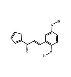 CCOc1ccc(OCC)c(C=CC(=O)c2cccs2)c1